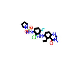 C=Cc1c(Nc2c(F)ccc(NS(=O)(=O)N3CCCC3)c2Cl)ccc2ncn(C)c(=O)c12